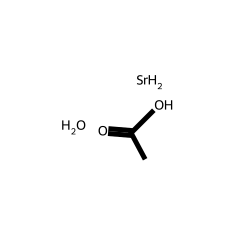 CC(=O)O.O.[SrH2]